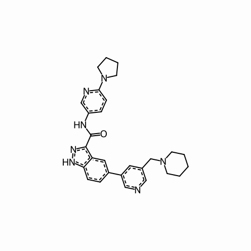 O=C(Nc1ccc(N2CCCC2)nc1)c1n[nH]c2ccc(-c3cncc(CN4CCCCC4)c3)cc12